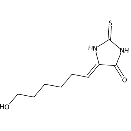 O=C1NC(=S)N/C1=C\CCCCCO